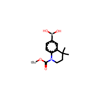 CC(C)(C)OC(=O)N1CCC(C)(C)c2cc(B(O)O)ccc21